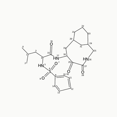 CC(C)CC(NS(=O)(=O)c1ccccc1)C(=O)NC1CC2CCCC(CNC(=O)C1=O)C2